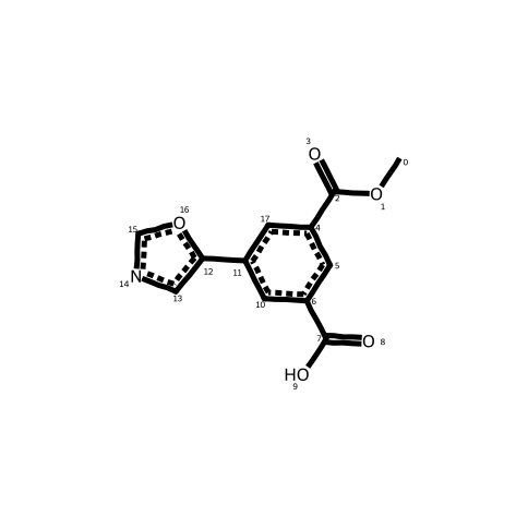 COC(=O)c1cc(C(=O)O)cc(-c2cnco2)c1